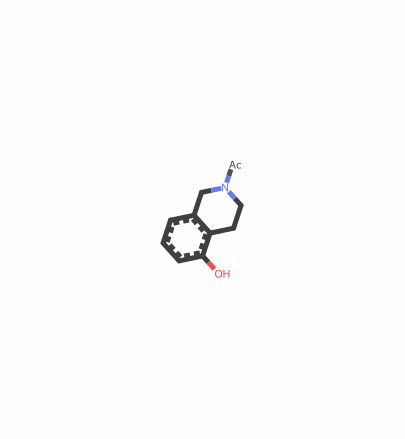 CC(=O)N1CCc2c(O)cccc2C1